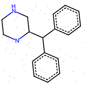 c1ccc(C(c2ccccc2)C2CNCC[N]2)cc1